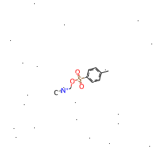 [C-]#[N+]COS(=O)(=O)c1ccc(C)cc1